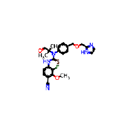 COc1c(C#N)ccc(NC(=S)N(c2ccc(COCc3ncc[nH]3)cc2)C(C)(C)C=O)c1F